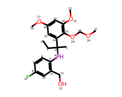 CCC(C)(Pc1ccc(F)cc1CO)c1cc(OC)cc(OC)c1OCOC